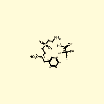 NCCS(=O)(=O)CCN(Cc1ccccc1)C(=O)O.O=C(O)C(F)(F)F